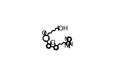 CO/C1=C(CCCCCC(C)(C)O)/C=C\C(c2cccc(-c3cccc(CCCc4nc(C)nc5cccnc45)c3C)c2Cl)=C/CC1